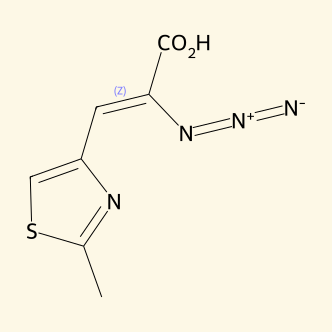 Cc1nc(/C=C(\N=[N+]=[N-])C(=O)O)cs1